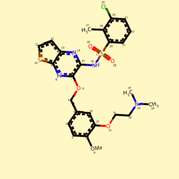 COc1ccc(COc2nc3sccc3nc2NS(=O)(=O)c2cccc(Cl)c2C)cc1OCCN(C)C